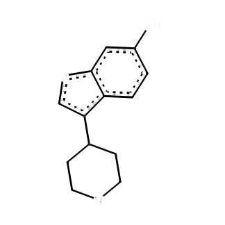 Cc1ccc2c(C3CC[N]CC3)coc2c1